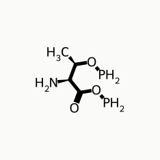 C[C@@H](OP)[C@H](N)C(=O)OP